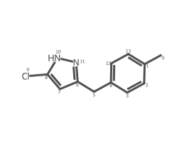 Cc1ccc(Cc2cc(Cl)[nH]n2)cc1